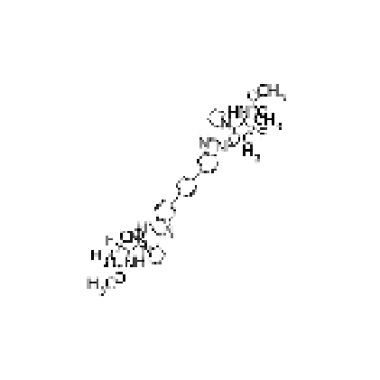 COC(=O)NC(C(=O)N1CCC[C@H]1c1nc2cc(-c3ccc(-c4ccc5[nH]c([C@@H]6CCCN6C(=O)[C@@H](NC(=O)OC)C(C)(C)F)nc5c4)cc3)ccc2[nH]1)C(C)(C)F